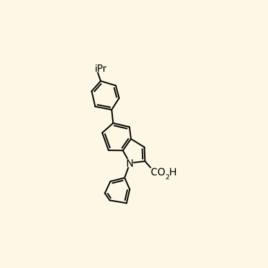 CC(C)c1ccc(-c2ccc3c(c2)cc(C(=O)O)n3-c2ccccc2)cc1